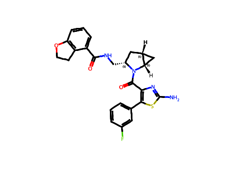 Nc1nc(C(=O)N2[C@H](CNC(=O)c3cccc4c3CCO4)C[C@@H]3C[C@@H]32)c(-c2cccc(F)c2)s1